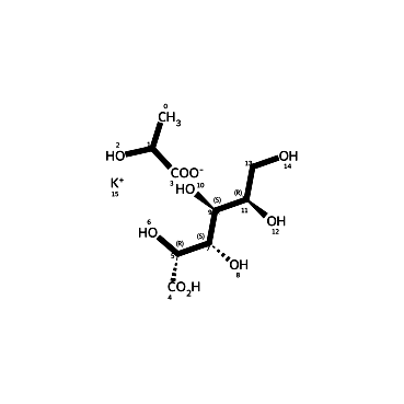 CC(O)C(=O)[O-].O=C(O)[C@H](O)[C@@H](O)[C@@H](O)[C@H](O)CO.[K+]